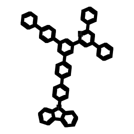 c1ccc(-c2ccc(-c3cc(-c4ccc(-c5ccc(-n6c7ccccc7c7ccccc76)cc5)cc4)cc(-c4cc(-c5ccccc5)cc(-c5ccccc5)n4)c3)cc2)cc1